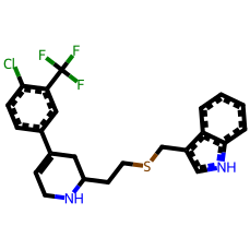 FC(F)(F)c1cc(C2=CCNC(CCSCc3c[nH]c4ccccc34)C2)ccc1Cl